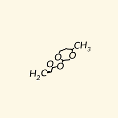 C=CC(=O)OC1COC(C)CCO1